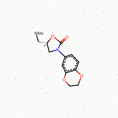 CNC[C@H]1CN(c2ccc3c(c2)OCCO3)C(=O)O1